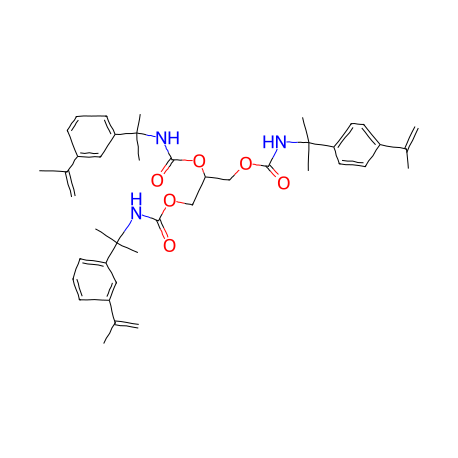 C=C(C)c1ccc(C(C)(C)NC(=O)OCC(COC(=O)NC(C)(C)c2cccc(C(=C)C)c2)OC(=O)NC(C)(C)c2cccc(C(=C)C)c2)cc1